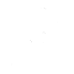 CCC(C)(CN)CNC(=O)c1noc(OC)c1C